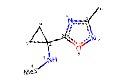 CSNC1(c2nc(C)no2)CC1